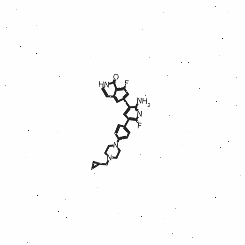 Nc1nc(F)c(-c2ccc(N3CCN(CC4CC4)CC3)cc2)cc1-c1cc(F)c2c(=O)[nH]ccc2c1